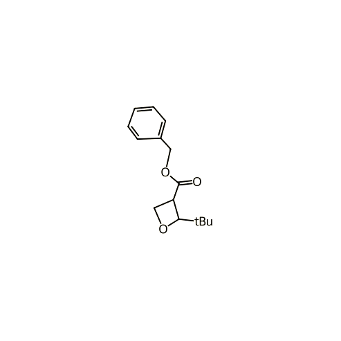 CC(C)(C)C1OCC1C(=O)OCc1ccccc1